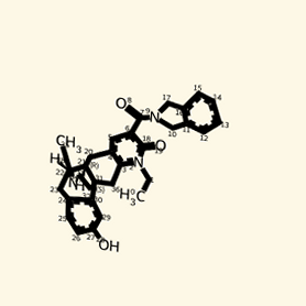 CCn1c2c(cc(C(=O)N3Cc4ccccc4C3)c1=O)C[C@H]1[C@H]3Cc4ccc(O)cc4[C@@]1(CCN3C)C2